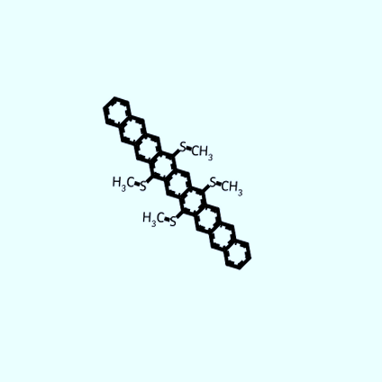 CSc1c2cc3cc4ccccc4cc3cc2c(SC)c2cc3c(SC)c4cc5cc6ccccc6cc5cc4c(SC)c3cc12